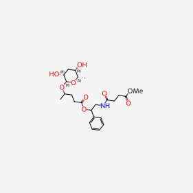 COC(=O)CCC(=O)NCC(OC(=O)CCC(C)O[C@@H]1O[C@@H](C)[C@H](O)C[C@H]1O)c1ccccc1